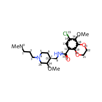 CNCCCN1CC[C@@H](CNC(=O)c2cc(Cl)c(OC)c3c2OCCO3)C(OC)C1